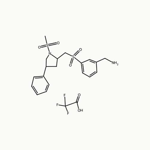 CS(=O)(=O)N1CC(c2ccccc2)CC1CS(=O)(=O)c1cccc(CN)c1.O=C(O)C(F)(F)F